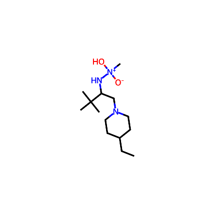 CCC1CCN(CC(N[N+](C)([O-])O)C(C)(C)C)CC1